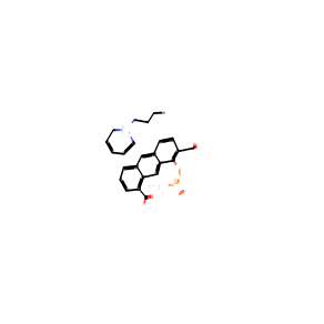 CCCCN1C=CC=CC1.O=C(O)c1ccc2cc3cccc(C(=O)O)c3cc2c1O[PH](=O)O